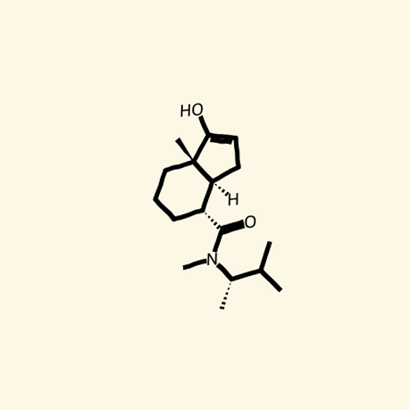 CC(C)[C@H](C)N(C)C(=O)[C@@H]1CCC[C@]2(C)C(O)=CC[C@@H]12